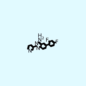 Nc1nc(-c2cccnc2)nc2ccc(-c3ccc(F)cc3F)cc12